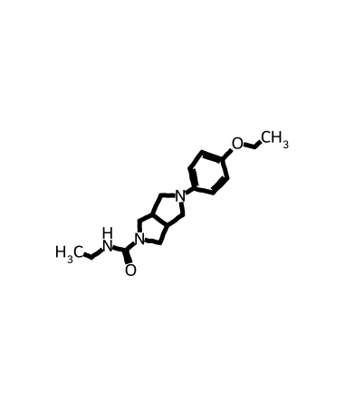 CCNC(=O)N1CC2CN(c3ccc(OCC)cc3)CC2C1